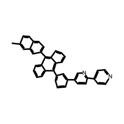 Cc1ccc2ccc(-c3c4ccccc4c(-c4cccc(-c5ccc(-c6ccncc6)nc5)c4)c4ccccc34)cc2c1